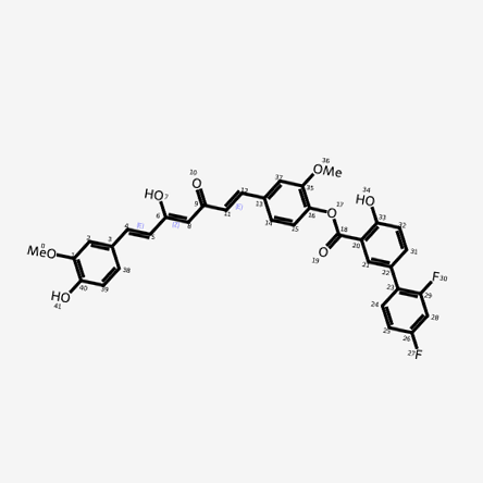 COc1cc(/C=C/C(O)=C/C(=O)/C=C/c2ccc(OC(=O)c3cc(-c4ccc(F)cc4F)ccc3O)c(OC)c2)ccc1O